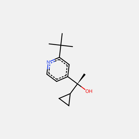 CC(C)(C)c1cc([C@](C)(O)C2CC2)ccn1